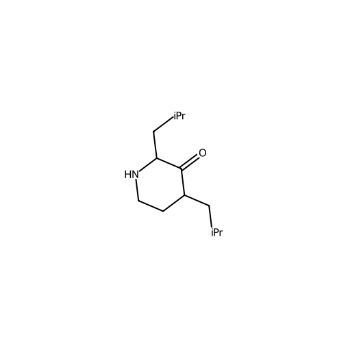 CC(C)CC1CCNC(CC(C)C)C1=O